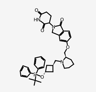 CC(C)(C)[Si](O[C@H]1C[C@H](CN2CCCC[C@@H]2COc2ccc3c(c2)CN(C2CCC(=O)NC2=O)C3=O)C1)(c1ccccc1)c1ccccc1